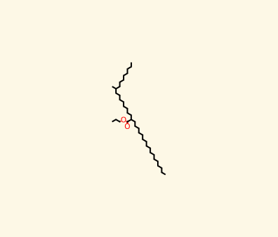 CCCCCCCCCCCCCCCCCC(CCCCCCCCC(C)CCCCCCCC)C(=O)OCCC